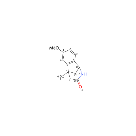 COc1ccc2c(c1)C1(C)CC(=O)NC2C1